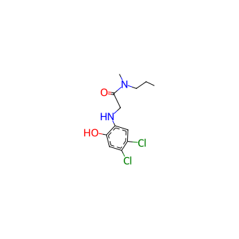 CCCN(C)C(=O)CNc1cc(Cl)c(Cl)cc1O